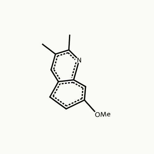 COc1ccc2cc(C)c(C)nc2c1